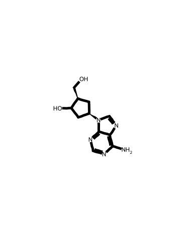 Nc1ncnc2c1ncn2[C@H]1CC(O)[C@@H](CO)C1